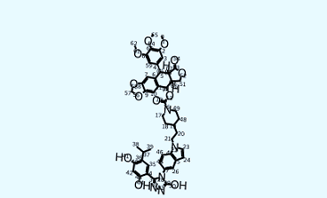 COc1cc([C@@H]2c3cc4c(cc3[C@H](OC(=O)N3CCC(CCn5ccc6cc(-n7c(O)nnc7-c7cc(C(C)C)c(O)cc7O)ccc65)CC3)[C@H]3COC(=O)[C@@H]23)OCO4)cc(OC)c1OC